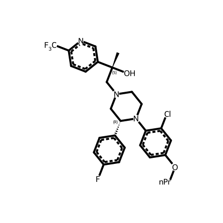 CCCOc1ccc(N2CCN(C[C@@](C)(O)c3ccc(C(F)(F)F)nc3)C[C@H]2c2ccc(F)cc2)c(Cl)c1